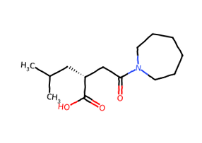 CC(C)C[C@H](CC(=O)N1CCCCCC1)C(=O)O